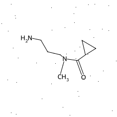 CN(CCCN)C(=O)C1CC1